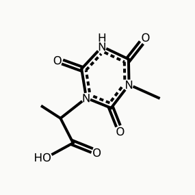 CC(C(=O)O)n1c(=O)[nH]c(=O)n(C)c1=O